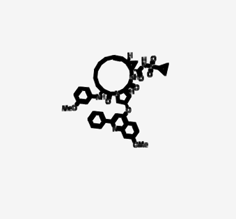 COc1cccc(N[C@H]2CCCCC/C=C\[C@@H]3C[C@@]3(C(=O)NS(=O)(=O)C3CC3)NC(=O)[C@@H]3C[C@@H](Oc4cc(-c5ccccc5)nc5cc(OC)ccc45)CN3C2=O)c1